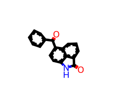 O=C(c1ccccc1)c1ccc2c3c(cccc13)C(=O)N2